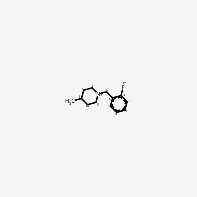 CC1CCN(Cc2ccccc2F)CC1